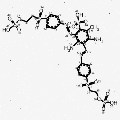 Cc1c(N)c(/N=N/c2ccc(S(=O)(=O)CCOS(=O)(=O)O)cc2)c(N)c(/N=N/c2ccc(S(=O)(=O)CCOS(=O)(=O)O)cc2)c1S(=O)(=O)O